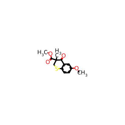 COC(=O)C1(C)CSc2ccc(OC)cc2C1=O